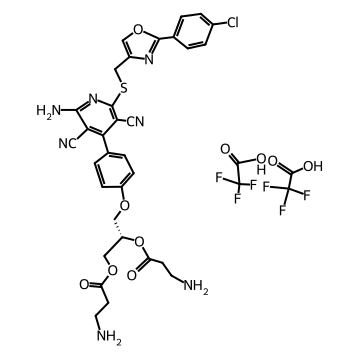 N#Cc1c(N)nc(SCc2coc(-c3ccc(Cl)cc3)n2)c(C#N)c1-c1ccc(OC[C@@H](COC(=O)CCN)OC(=O)CCN)cc1.O=C(O)C(F)(F)F.O=C(O)C(F)(F)F